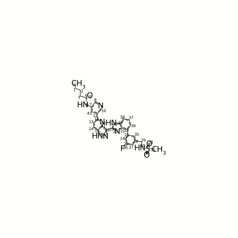 CCCCC(=O)Nc1cncc(-c2ccc3[nH]nc(-c4nc5c(-c6cc(F)cc(CNS(C)(=O)=O)c6)cccc5[nH]4)c3n2)c1